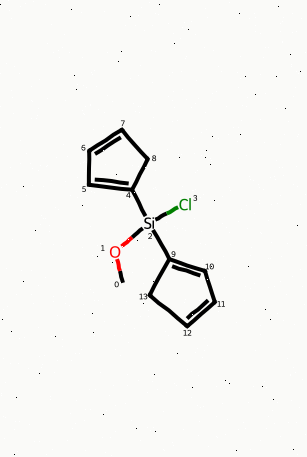 CO[Si](Cl)(C1=CC=CC1)C1=CC=CC1